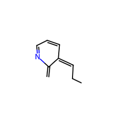 C=c1nccc/c1=C/CC